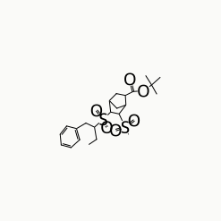 CCC(Cc1ccccc1)S(=O)(=O)C1C2CC(C(=O)OC(C)(C)C)C(C2)C1S(C)(=O)=O